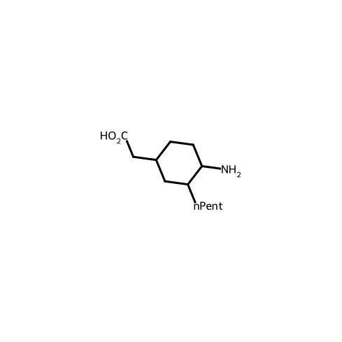 CCCCCC1CC(CC(=O)O)CCC1N